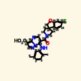 Cc1ccc(C)c(Nc2c(C(=O)N3CCC4(CC3)COc3cc(F)ccc34)cnc3c(C(=O)O)cnn23)c1